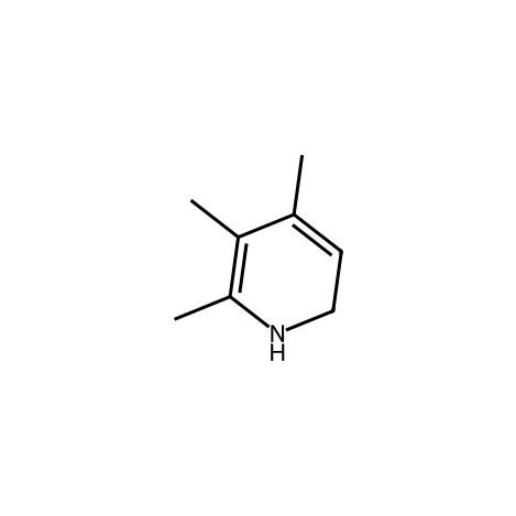 CC1=CCNC(C)=C1C